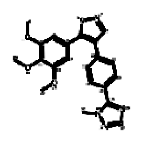 COc1cc(-c2sncc2-c2ccc(-c3nnnn3C)cc2)cc(OC)c1OC